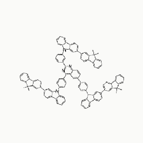 CC1(C)c2ccccc2-c2ccc(-c3ccc4c(c3)C(c3ccc(-c5ccc6nc(-c7cccc(-n8c9ccccc9c9ccc(-c%10ccc%11c(c%10)C(C)(C)c%10ccccc%10-%11)cc98)c7)nc(-c7ccc(-n8c9ccccc9c9ccc(-c%10ccc%11c(c%10)C(C)(C)c%10ccccc%10-%11)cc98)cc7)c6c5)cc3)c3ccccc3-4)cc21